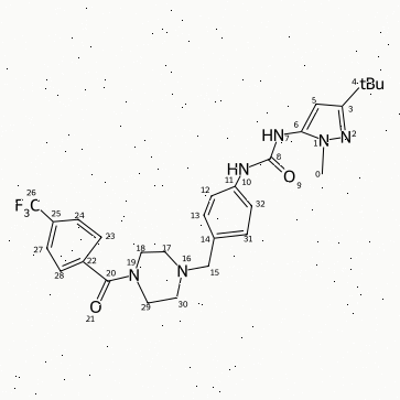 Cn1nc(C(C)(C)C)cc1NC(=O)Nc1ccc(CN2CCN(C(=O)c3ccc(C(F)(F)F)cc3)CC2)cc1